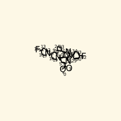 COC(=O)c1cc(N2CCC(N3CCC(F)CC3)CC2)c2c(C3CCC3)nn(-c3ccc(F)cc3)c2n1